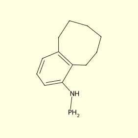 PNc1cccc2c1CCCCCC2